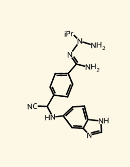 CC(C)N(N)/N=C(\N)c1ccc(C(C#N)Nc2ccc3[nH]cnc3c2)cc1